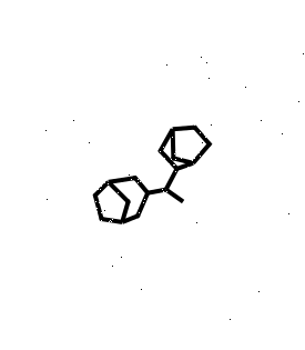 CC(C1CC2CCC(C2)C1)C1CC2CCC1C2